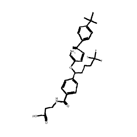 C=C(/C=C\C(=C/N)OC(CCCC(F)(F)F)c1ccc(C(=O)NCCC(=O)O)cc1)c1ccc(C(C)(C)C)cc1